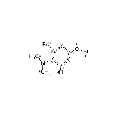 CCOc1cc(Cl)c(N(C)C)c(Br)c1